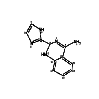 NC1=NC(c2ncc[nH]2)Nc2ccccc21